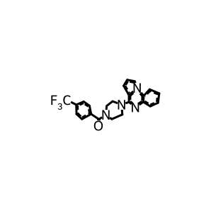 O=C(c1ccc(C(F)(F)F)cc1)N1CCN(c2nc3ccccc3n3cccc23)CC1